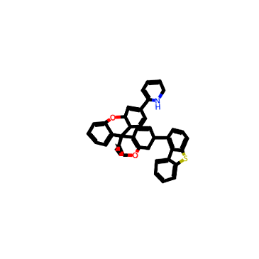 C1=CCNC(C2=CC3Oc4ccccc4C4(C5=CC=CCC5OC5=C4C=CC(c4cccc6sc7ccccc7c46)C5)C3C=C2)=C1